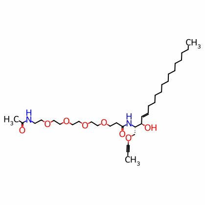 CC#COC[C@H](NC(=O)CCOCCOCCOCCOCCNC(C)=O)[C@H](O)/C=C/CCCCCCCCCCCCC